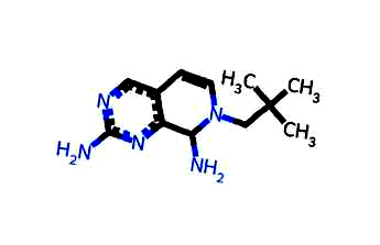 CC(C)(C)CN1C=Cc2cnc(N)nc2C1N